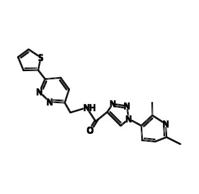 Cc1ccc(-n2cc(C(=O)NCc3ccc(-c4cccs4)nn3)nn2)c(C)n1